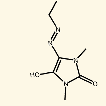 CCN=Nc1c(O)n(C)c(=O)n1C